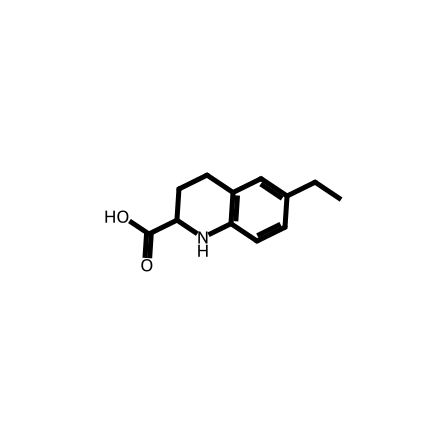 CCc1ccc2c(c1)CCC(C(=O)O)N2